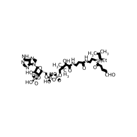 CCC(=C(C)C)[SH](CCNC(=O)CCNC(=O)C(O)C(C)(C)COP(=O)(O)OP(=O)(O)OC[C@H]1O[C@@H](n2cnc3c(N)ncnc32)[C@H](O)[C@@H]1OP(=O)(O)O)C(=O)CC=CC=O